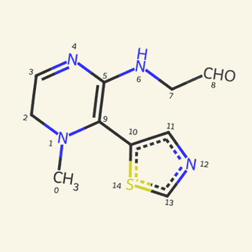 CN1CC=NC(NCC=O)=C1c1cncs1